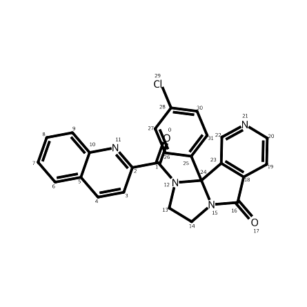 O=C(c1ccc2ccccc2n1)N1CCN2C(=O)c3ccncc3C12c1ccc(Cl)cc1